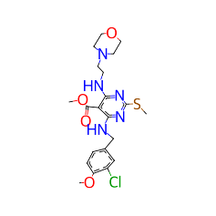 COC(=O)c1c(NCCN2CCOCC2)nc(SC)nc1NCc1ccc(OC)c(Cl)c1